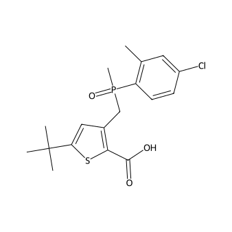 Cc1cc(Cl)ccc1P(C)(=O)Cc1cc(C(C)(C)C)sc1C(=O)O